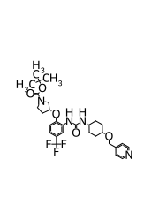 CC(C)(C)OC(=O)N1CC[C@@H](Oc2ccc(C(F)(F)F)cc2NC(=O)N[C@H]2CC[C@H](OCc3ccncc3)CC2)C1